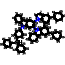 c1ccc(-c2cc3ccn4c5cc6c7ccccc7n(-c7ccc([SiH](c8ccccc8)c8ccccc8)cc7)c6cc5n5c6ccccc6c6cc(-c7ccccc7)cc(c(c2)c34)c65)cc1